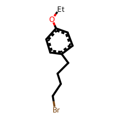 CCOc1ccc(CCCCBr)cc1